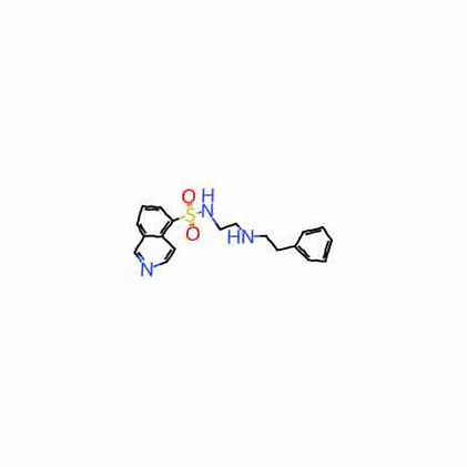 O=S(=O)(NCCNCCc1ccccc1)c1cccc2cnccc12